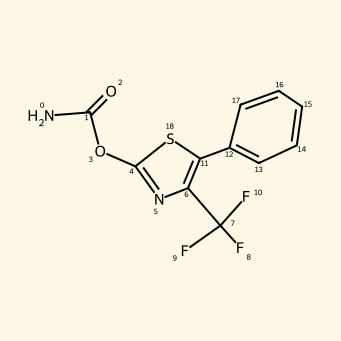 NC(=O)Oc1nc(C(F)(F)F)c(-c2ccccc2)s1